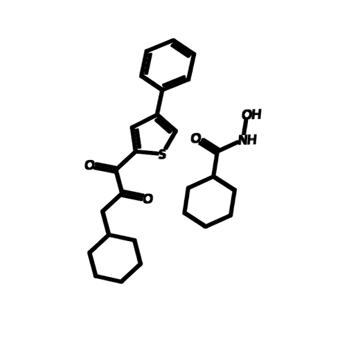 O=C(CC1CCCCC1)C(=O)c1cc(-c2ccccc2)cs1.O=C(NO)C1CCCCC1